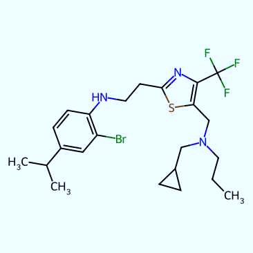 CCCN(Cc1sc(CCNc2ccc(C(C)C)cc2Br)nc1C(F)(F)F)CC1CC1